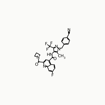 Cc1c(NC(=O)c2cc(C(=O)N3CCC3)nc3cc(F)ccc23)c(C(F)(F)F)nn1Cc1ccc(C#N)cc1